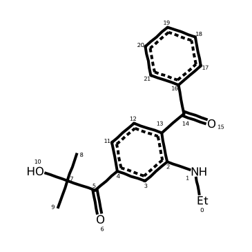 CCNc1cc(C(=O)C(C)(C)O)ccc1C(=O)c1ccccc1